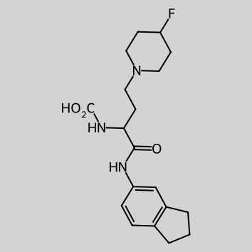 O=C(O)NC(CCN1CCC(F)CC1)C(=O)Nc1ccc2c(c1)CCC2